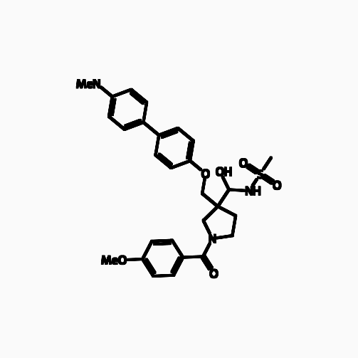 CNc1ccc(-c2ccc(OCC3(C(O)NS(C)(=O)=O)CCN(C(=O)c4ccc(OC)cc4)C3)cc2)cc1